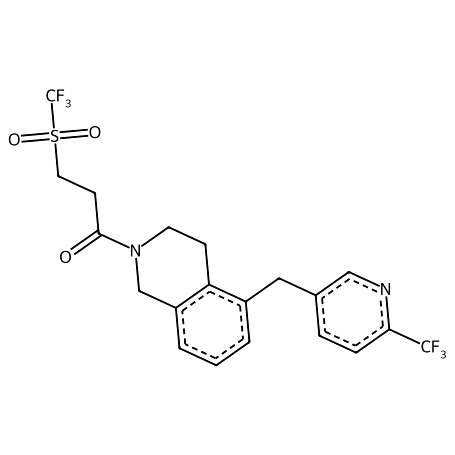 O=C(CCS(=O)(=O)C(F)(F)F)N1CCc2c(Cc3ccc(C(F)(F)F)nc3)cccc2C1